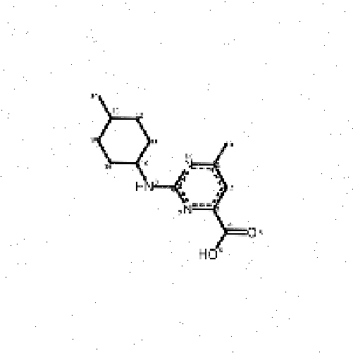 Cc1cc(C(=O)O)nc(NC2CCC(C)CC2)n1